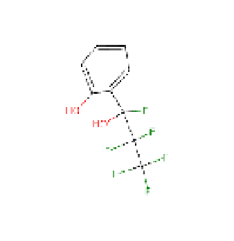 Oc1ccccc1C(O)(F)C(F)(F)C(F)(F)F